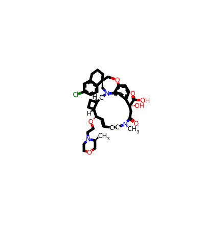 C[C@H]1COCCN1CCO[C@H]1/C=C/CCN(C)C(=O)C[C@](O)(C(=O)O)c2ccc3c(c2)N(C[C@@H]2CC[C@H]21)C[C@@]1(CCCc2cc(Cl)ccc21)CO3